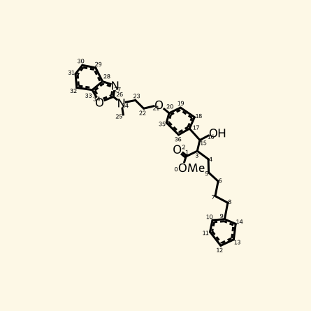 COC(=O)C(CCCCCc1ccccc1)C(O)c1ccc(OCCN(C)c2nc3ccccc3o2)cc1